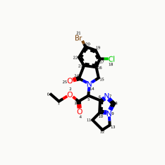 CCOC(=O)C(c1ncn2c1CCC2)N1Cc2c(Cl)cc(Br)cc2C1=O